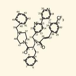 O=C([C@H](Cc1ccccc1)N(Cc1ccc(-c2ccncc2)nc1)C(=O)C=Cc1ccc(C(F)(F)F)cc1)N1CCN(Cc2ccccc2)CC1